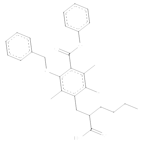 CCCCC(Cc1c(C)c(OCc2ccccc2)c(C(=O)Oc2ccccc2)c(C)c1F)C(=O)O